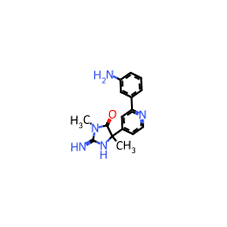 CN1C(=N)NC(C)(c2ccnc(-c3cccc(N)c3)c2)C1=O